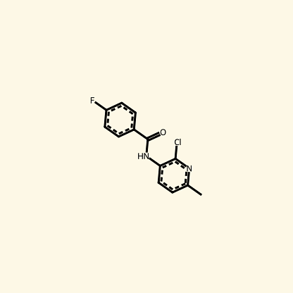 Cc1ccc(NC(=O)c2ccc(F)cc2)c(Cl)n1